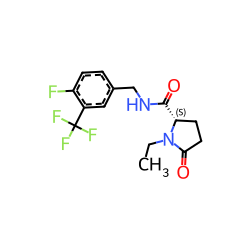 CCN1C(=O)CC[C@H]1C(=O)NCc1ccc(F)c(C(F)(F)F)c1